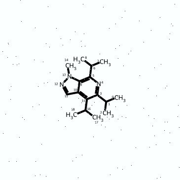 CC(C)c1nc(C(C)C)c2c(cnn2C)c1C(C)C